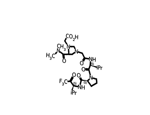 CC(C)[C@H](NC(=O)CN1CC(C(=O)N(C)C)N(CC(=O)O)C1)C(=O)N1CCC[C@H]1C(=O)N[C@H](C(=O)C(F)(F)F)C(C)C